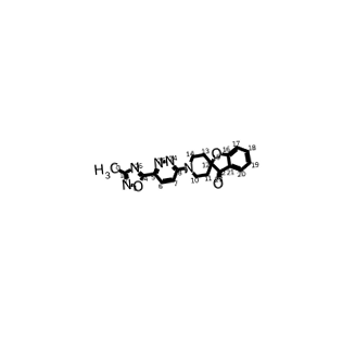 Cc1noc(-c2ccc(N3CCC4(CC3)Oc3ccccc3C4=O)nn2)n1